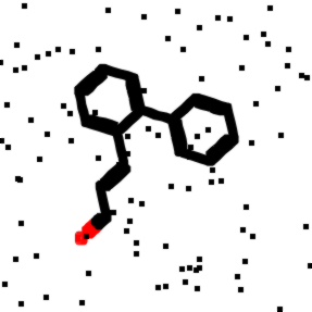 O=CC=Cc1ccccc1-c1ccccc1